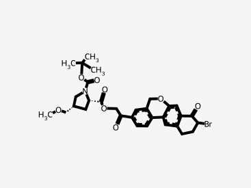 COC[C@H]1C[C@@H](C(=O)OCC(=O)c2ccc3c(c2)COc2cc4c(cc2-3)CCC(Br)C4=O)N(C(=O)OC(C)(C)C)C1